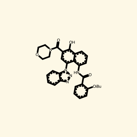 CC(C)COc1ccccc1C(=O)Nc1cccc2c(O)c(C(=O)N3CCOCC3)cc(-n3nnc4ccccc43)c12